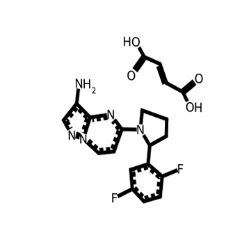 Nc1cnn2ccc(N3CCCC3c3cc(F)ccc3F)nc12.O=C(O)/C=C/C(=O)O